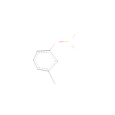 Cc1cccc(OS(=O)O)c1